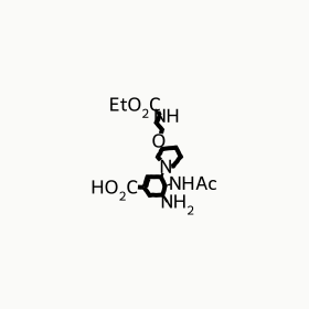 CCOC(=O)NCCO[C@@H]1CCCN([C@@H]2C=C(C(=O)O)C[C@H](N)[C@H]2NC(C)=O)C1